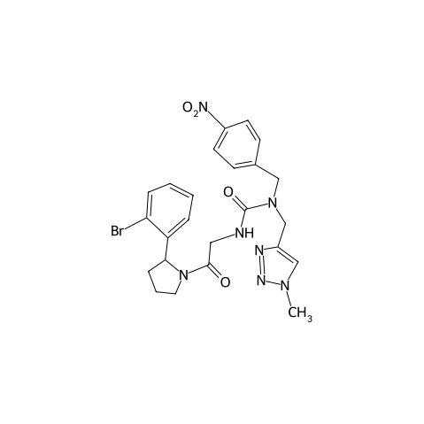 Cn1cc(CN(Cc2ccc([N+](=O)[O-])cc2)C(=O)NCC(=O)N2CCCC2c2ccccc2Br)nn1